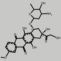 COc1ccc2c(c1)C(=O)c1c(O)c3c(c(O)c1C2=O)[C@@H](OC1CC(N)C(O)C(C)O1)C[C@](O)(C(=O)CO)C3